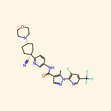 Cc1c(C(=O)Nc2ccc([C@]3(C#N)CC[C@@H](N4CCOCC4)CC3)nc2)cnn1-c1ncc(C(F)(F)F)cc1F